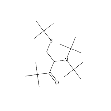 CC(C)(C)SCC(C(=O)C(C)(C)C)N(C(C)(C)C)C(C)(C)C